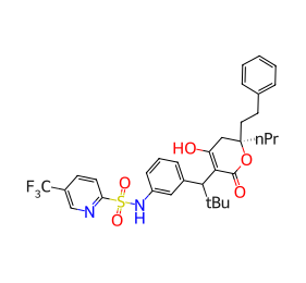 CCC[C@@]1(CCc2ccccc2)CC(O)=C(C(c2cccc(NS(=O)(=O)c3ccc(C(F)(F)F)cn3)c2)C(C)(C)C)C(=O)O1